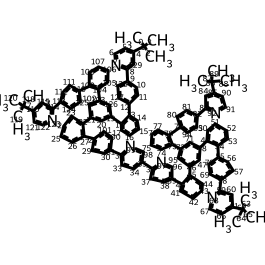 CC(C)(C)c1ccnc(-c2ccc(-c3ccccc3-c3cc(-c4ccccc4-c4ccc(-c5ccc(-c6ccc(-c7ccccc7-c7cc(-c8ccccc8-c8ccc(-c9cc(C(C)(C)C)ccn9)cc8)cc(-c8ccccc8-c8ccc(-c9cc(C(C)(C)C)ccn9)cc8)c7)cn6)cn5)cc4)cc(-c4ccccc4-c4ccc(-c5cc(C(C)(C)C)ccn5)cc4)c3)cc2)c1